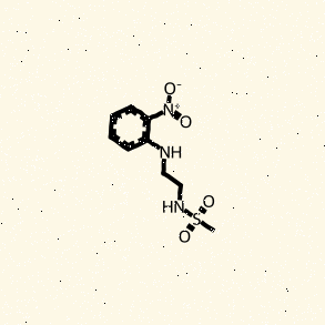 CS(=O)(=O)NCCNc1ccccc1[N+](=O)[O-]